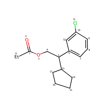 CCC(=O)OCC(c1cccc(Cl)c1)C1CCCC1